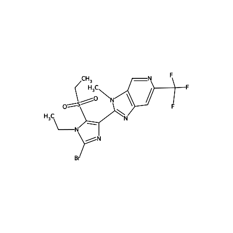 CCn1c(Br)nc(-c2nc3cc(C(F)(F)F)ncc3n2C)c1S(=O)(=O)CC